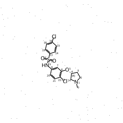 CN1CC[C@@H](Oc2cc(NS(=O)(=O)c3ccc(Cl)cc3)ccc2Cl)C1